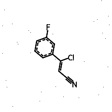 N#CC=C(Cl)c1cccc(F)c1